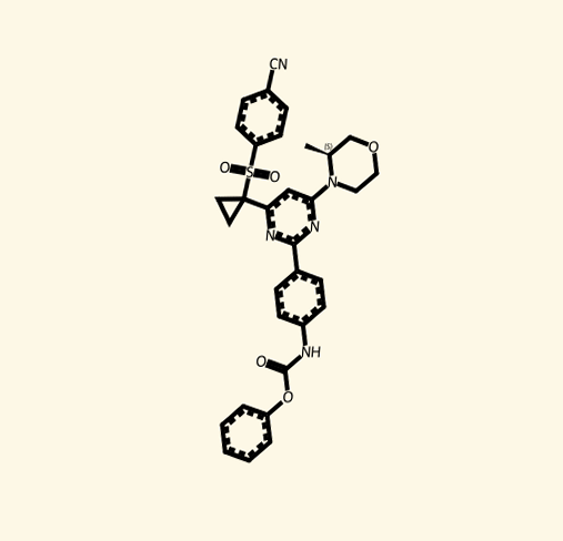 C[C@H]1COCCN1c1cc(C2(S(=O)(=O)c3ccc(C#N)cc3)CC2)nc(-c2ccc(NC(=O)Oc3ccccc3)cc2)n1